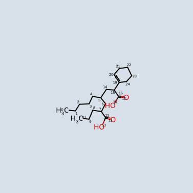 CCCCCC(CC(CCC)C(=O)O)CC(C(=O)O)C1=CCCCC1